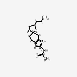 CCCC1COC2(CCc3cc(NC(C)=O)sc3C2)O1